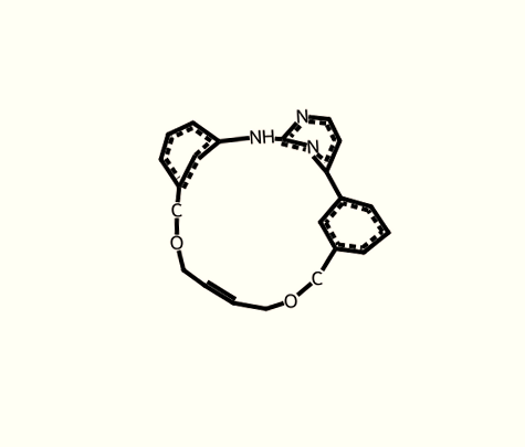 C1=CCOCc2cccc(c2)-c2ccnc(n2)Nc2cccc(c2)COC1